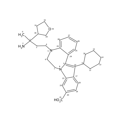 CC(N)(CCN1CCn2c(c(C3CCCCC3)c3ccc(C(=O)O)cc32)-c2ccccc21)C1CCOC1